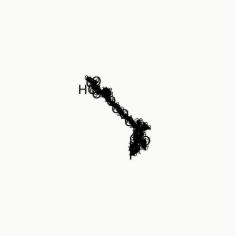 CCOC(=O)/C(O)=C/C(=O)c1cccc(COCCOCCOCCOCCN(SC)c2cc3oc(-c4ccc(F)cc4)c(C(=O)NC)c3cc2C2CC2)c1